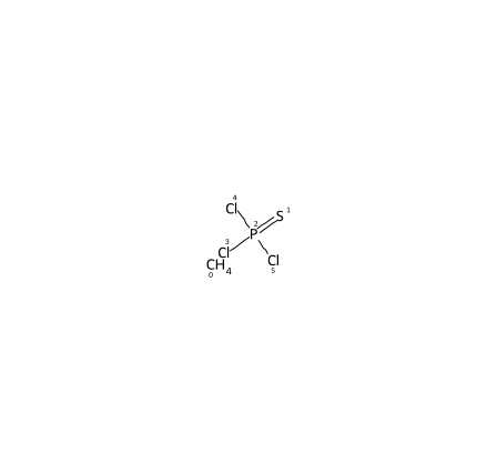 C.S=P(Cl)(Cl)Cl